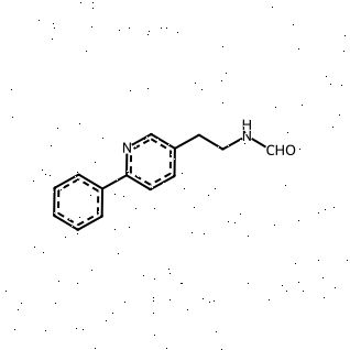 O=CNCCc1ccc(-c2ccccc2)nc1